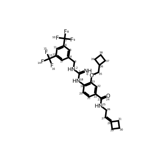 N=C(NCc1cc(C(F)(F)F)cc(C(F)(F)F)c1)Nc1ccc(C(=O)NCC=C2CCC2)cc1OCC1CCC1